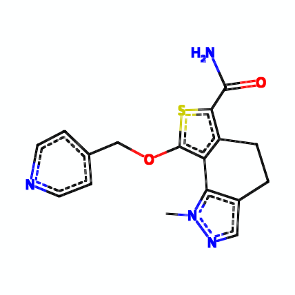 Cn1ncc2c1-c1c(OCc3ccncc3)sc(C(N)=O)c1CC2